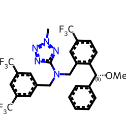 CO[C@H](c1ccccc1)c1ccc(C(F)(F)F)cc1CN(Cc1cc(C(F)(F)F)cc(C(F)(F)F)c1)c1nnn(C)n1